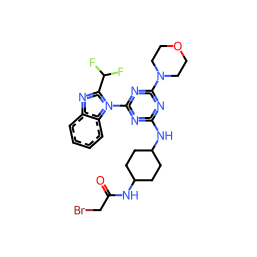 O=C(CBr)NC1CCC(Nc2nc(N3CCOCC3)nc(-n3c(C(F)F)nc4ccccc43)n2)CC1